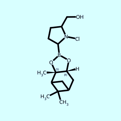 CC1(C)C2CC1[C@]1(C)OB(C3CCC(CO)N3Cl)O[C@@H]1C2